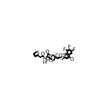 O=C(Cc1cccs1)NC1C(=O)N2CC(C=CSc3cc(=O)c4cc(F)c(F)c(F)c4s3)(C(=O)O)CS[C@H]12